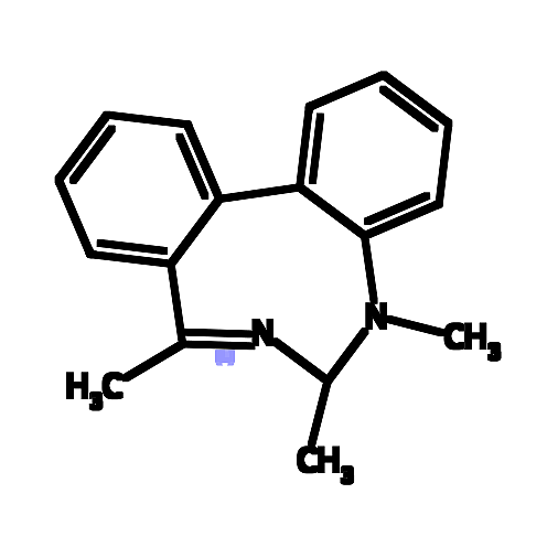 C/C1=N\C(C)N(C)c2ccccc2-c2ccccc21